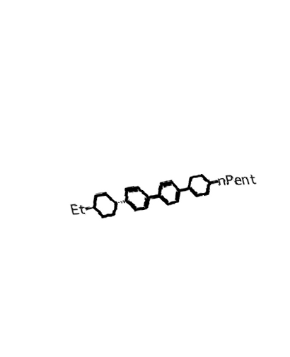 CCCCCC1CC=C(c2ccc(-c3ccc([C@H]4CC[C@H](CC)CC4)cc3)cc2)CC1